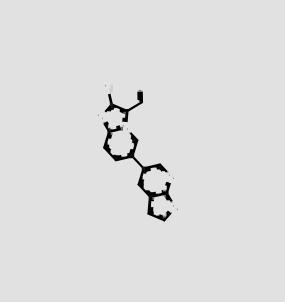 Nc1nc2ccc(-c3cnc4[nH]ccc4c3)cn2c1C=O